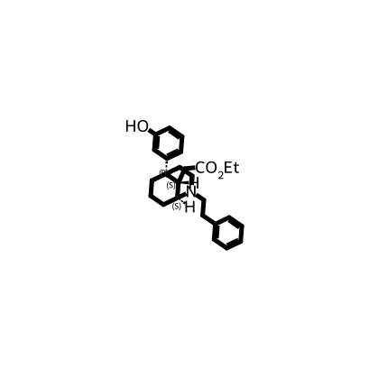 CCOC(=O)C[C@@H]1[C@@H]2CCC[C@@]1(c1cccc(O)c1)CCN2CCc1ccccc1